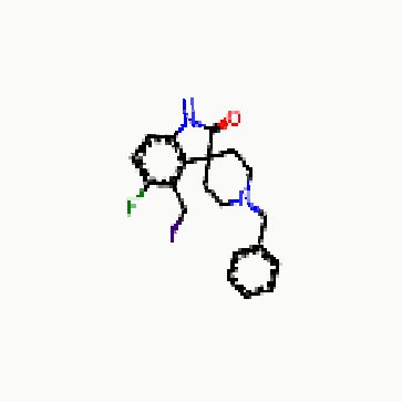 O=C1Nc2ccc(F)c(CI)c2C12CCN(Cc1ccccc1)CC2